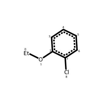 [CH2]COc1ccccc1Cl